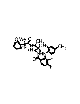 CO[C@@](C(=O)N[C@@H](C)C1(O)CN(C(=O)c2ccc(F)c(F)c2Nc2ccc(C)cc2F)C1)(c1ccccc1)C(F)(F)F